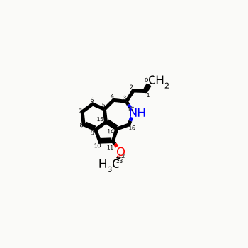 C=CCC1CC2CCC=C3C=C(OC)C(=C32)CN1